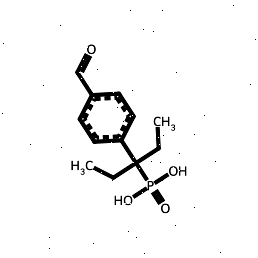 CCC(CC)(c1ccc(C=O)cc1)P(=O)(O)O